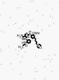 C=CC(=O)Nc1ccccc1Nc1nc(Nc2ccc(CCCCN3CCOCC3)cc2OC)ncc1C(N)=O